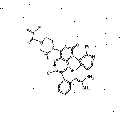 BC(B)=Cc1ccccc1-c1nc2c(cc1Cl)c(N1CCN(C(=O)C(=C)F)C[C@@H]1C)nc(=O)n2-c1c(C(C)C)ccnc1C(C)C